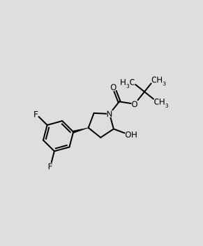 CC(C)(C)OC(=O)N1C[C@H](c2cc(F)cc(F)c2)CC1O